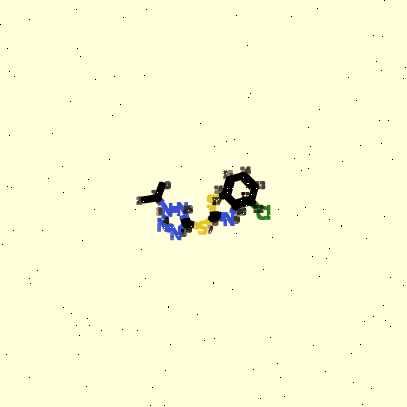 CC(C)n1nnc(Sc2nc3c(Cl)cccc3s2)n1